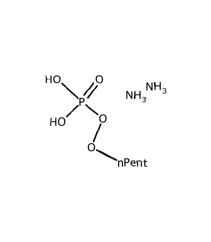 CCCCCOOP(=O)(O)O.N.N